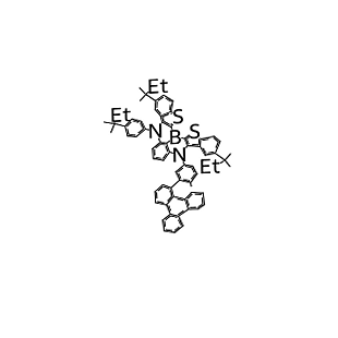 CCC(C)(C)c1ccc(N2c3cccc4c3B(c3sc5ccc(C(C)(C)CC)cc5c32)c2sc3ccc(C(C)(C)CC)cc3c2N4c2ccc(C)c(-c3cccc4c5ccccc5c5ccccc5c34)c2)cc1